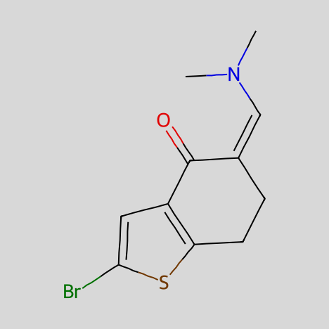 CN(C)/C=C1/CCc2sc(Br)cc2C1=O